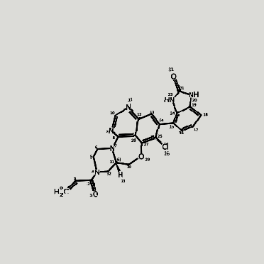 C=CC(=O)N1CCN2c3ncnc4cc(-c5cccc6[nH]c(=O)[nH]c56)c(Cl)c(c34)OC[C@@H]2C1